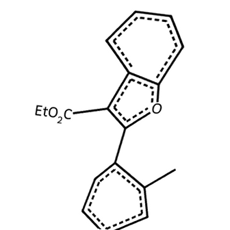 CCOC(=O)c1c(-c2ccccc2C)oc2ccccc12